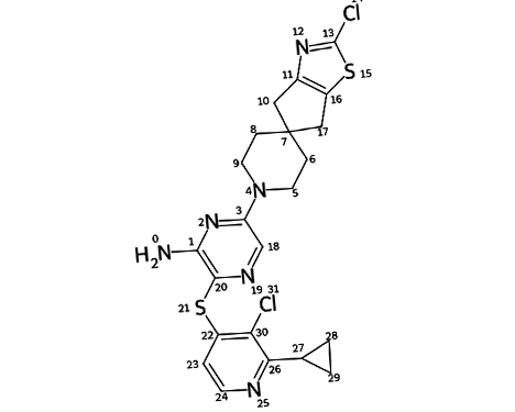 Nc1nc(N2CCC3(CC2)Cc2nc(Cl)sc2C3)cnc1Sc1ccnc(C2CC2)c1Cl